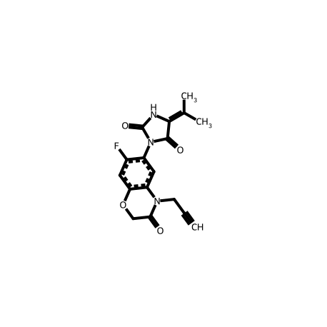 C#CCN1C(=O)COc2cc(F)c(N3C(=O)NC(=C(C)C)C3=O)cc21